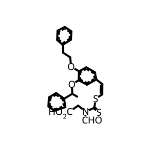 CC(Oc1cc(/C=C\SC(=S)N(C=O)CC(=O)O)ccc1OCCc1ccccc1)c1ccccc1